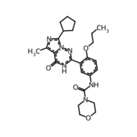 CCCOc1ccc(NC(=O)N2CCOCC2)cc1-c1nn2c(C3CCCC3)nc(C)c2c(=O)[nH]1